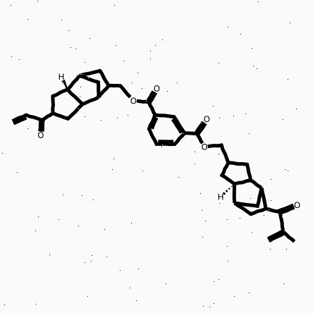 C=CC(=O)C1CC2C3CC(CC3COC(=O)c3cccc(C(=O)OCC4CC5C6CC(CC6C(=O)C(=C)C)[C@H]5C4)c3)[C@H]2C1